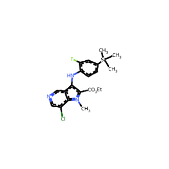 CCOC(=O)c1c(Nc2ccc([Si](C)(C)C)cc2F)c2cncc(Cl)c2n1C